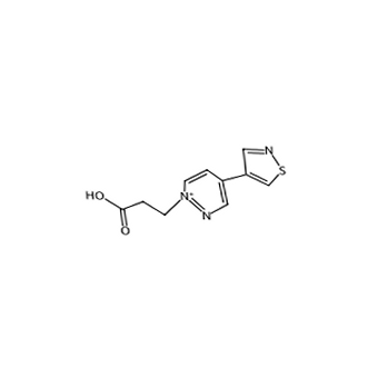 O=C(O)CC[n+]1ccc(-c2cnsc2)cn1